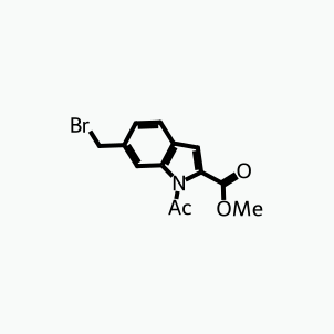 COC(=O)c1cc2ccc(CBr)cc2n1C(C)=O